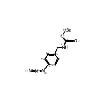 CC(C)(C)OC(=O)NCc1ccc(N=[N+]=[N-])cc1